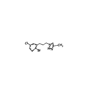 Cc1cn(CCCc2cc(Cl)ccc2Br)nn1